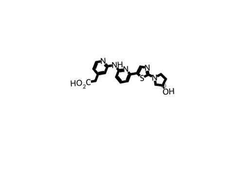 O=C(O)Cc1ccnc(Nc2cccc(-c3cnc(N4CC[C@@H](O)C4)s3)n2)c1